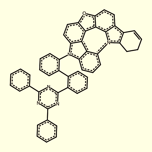 C1=Cc2c(n3c4cccc5c4c4c6c(ccc4n5-c4ccccc4-c4ccccc4-c4nc(-c5ccccc5)nc(-c5ccccc5)n4)oc4ccc2c3c46)CC1